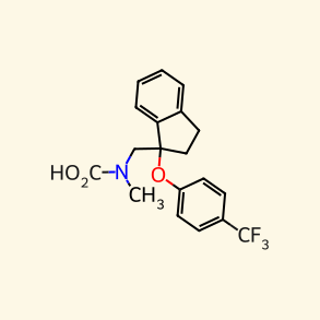 CN(CC1(Oc2ccc(C(F)(F)F)cc2)CCc2ccccc21)C(=O)O